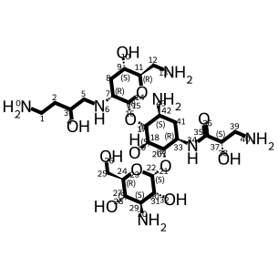 NCCC(O)CN[C@@H]1C[C@H](O)[C@@H](CN)O[C@@H]1O[C@H]1[C@H](O)[C@@H](O[C@H]2O[C@H](CO)[C@@H](O)[C@H](N)[C@H]2O)[C@H](NC(=O)[C@@H](O)CN)C[C@@H]1N